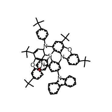 CC(C)(C)C1=CC2C3C4=C1Oc1cc(C(C)(C)C)ccc1N4c1cc(-n4c5ccccc5c5ccccc54)cc4c1[Si]3(c1ccccc1)c1c(cc(C(C)(C)C)c3c1N4c1ccc(C(C)(C)C)cc1O3)N2c1ccc(C(C)(C)C)cc1